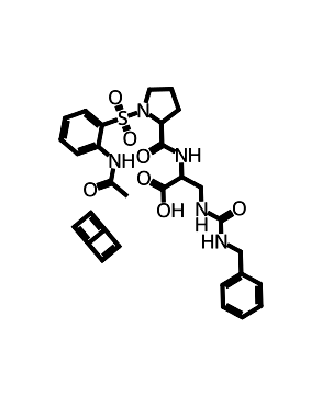 CC(=O)Nc1ccccc1S(=O)(=O)N1CCCC1C(=O)NC(CNC(=O)NCc1ccccc1)C(=O)O.c1cc2ccc1-2